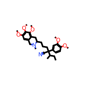 CCC(C)C(C#N)(CCCC1Cc2c(cc(OC)c(OC)c2OC)CN1C)c1ccc(OC)c(OC)c1